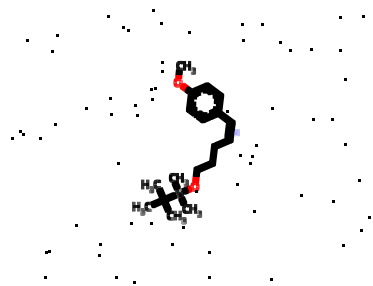 COc1ccc(/C=C\CCCO[Si](C)(C)C(C)(C)C)cc1